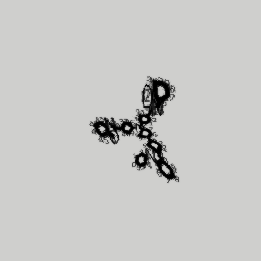 c1ccc(-n2c3ccccc3c3ccc(-c4ccc(N(c5ccc(-c6nc7ccccc7o6)cc5)c5ccc(-c6nc7ccccc7o6)cc5)cc4)cc32)cc1